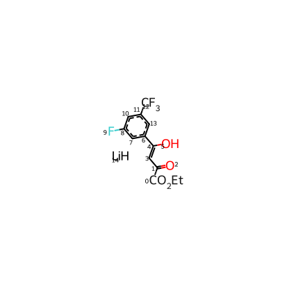 CCOC(=O)C(=O)C=C(O)c1cc(F)cc(C(F)(F)F)c1.[LiH]